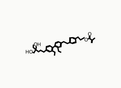 C=C(C)C(=O)OCCCc1ccc(CCc2ccc(-c3ccc(CCCC(CC)(CO)CO)cc3CC)c(CC)c2)cc1